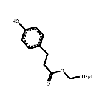 CCCCCCCCOC(=O)CCc1ccc(O)cc1